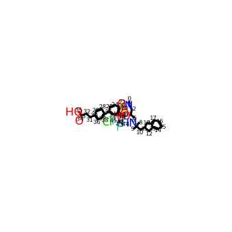 CN(C[C@H](O)CNC(C)(C)CC1Cc2ccccc2C1)S(=O)(=O)c1ccc(-c2ccc(CCC(=O)O)cc2Cl)cc1OC(F)(F)F